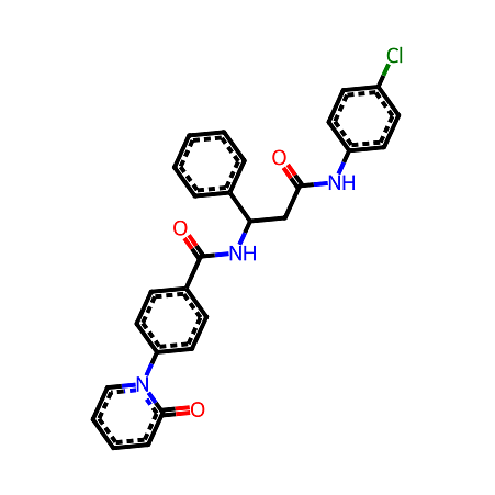 O=C(CC(NC(=O)c1ccc(-n2ccccc2=O)cc1)c1ccccc1)Nc1ccc(Cl)cc1